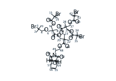 CC(C)(Br)COCC(C)(COC(=O)C(C)(C)Br)C(=O)OCC(C)(COC(=O)C(C)(COC(=O)C(C)(C)Br)COC(=O)C(C)(C)Br)C(=O)OCCN1C(=O)[C@@H]2C3C=CC(O3)[C@@H]2C1=O